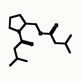 CC(C)CC(=O)OCC1CCCN1C(=O)CC(C)C